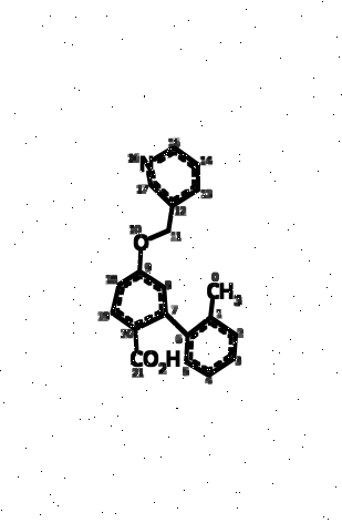 Cc1ccccc1-c1cc(OCc2cccnc2)ccc1C(=O)O